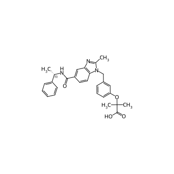 Cc1nc2cc(C(=O)N[C@@H](C)c3ccccc3)ccc2n1Cc1cccc(OC(C)(C)C(=O)O)c1